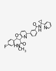 CNC(=O)C1c2nc(-c3cccc(C(=O)NC4(c5ccccn5)CC4)c3)ccc2OC1c1ccc(F)cc1